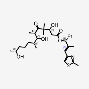 CC[C@H](OC(=O)C[C@H](O)C(C)(C)C(=O)[C@H](C)[C@@H](O)[C@@H](C)CCC[C@@H](C)O)/C(C)=C/c1csc(C)n1